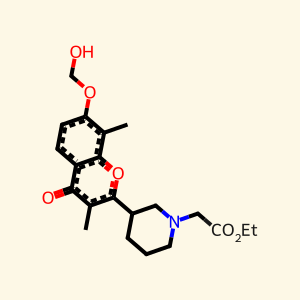 CCOC(=O)CN1CCCC(c2oc3c(C)c(OCO)ccc3c(=O)c2C)C1